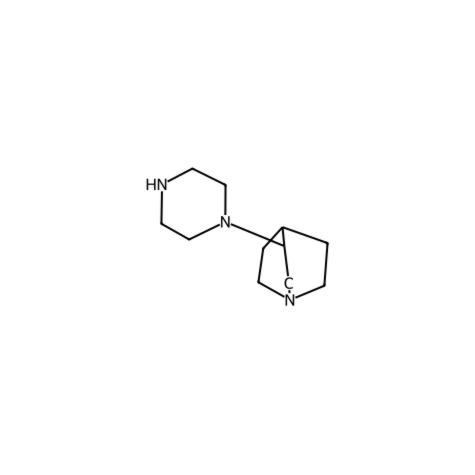 C1CN(C2CN3CCC2CC3)CCN1